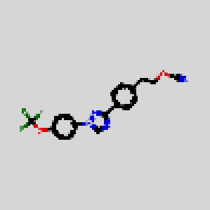 N#COCCc1ccc(-c2ncn(-c3ccc(OC(F)(F)F)cc3)n2)cc1